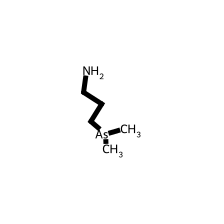 C[As](C)CCCN